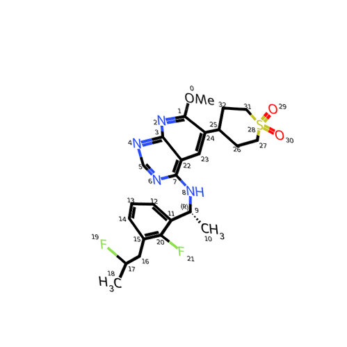 COc1nc2ncnc(N[C@H](C)c3cccc(CC(C)F)c3F)c2cc1C1CCS(=O)(=O)CC1